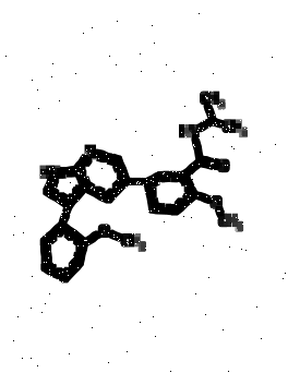 COc1ccc(-c2cnc3[nH]cc(-c4ccccc4OC)c3c2)cc1C(=O)NC(C)C